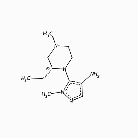 CC[C@@H]1CN(C)CCN1c1c(N)cnn1C